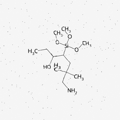 CCC(O)C(CC(C)(C)CN)[Si](OC)(OC)OC